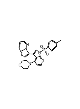 Cc1ccc(S(=O)(=O)n2cc(-c3cnc4cccnn34)c3c(N4CCOCC4)ccnc32)cc1